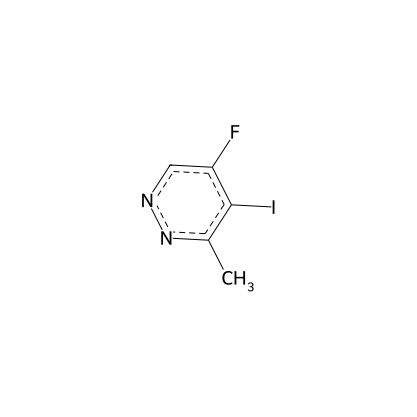 Cc1nncc(F)c1I